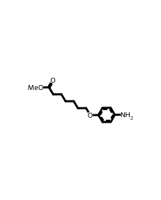 COC(=O)CCCCCCOc1ccc(N)cc1